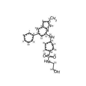 Cc1cc2nc(-c3ccccc3)cc(Nc3ccc(S(=O)(=O)NCCO)cc3)n2n1